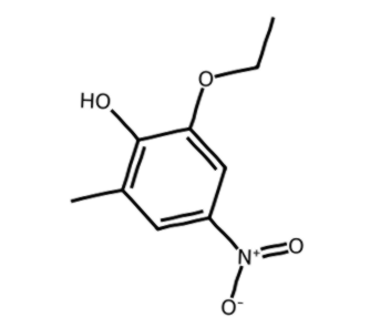 CCOc1cc([N+](=O)[O-])cc(C)c1O